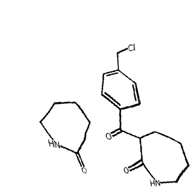 O=C1CCCCCN1.O=C1NCCCCC1C(=O)c1ccc(CCl)cc1